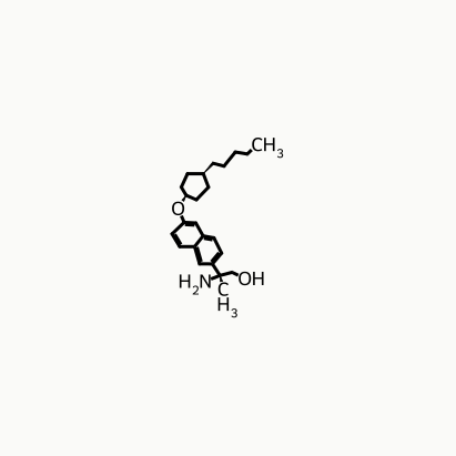 CCCCC[C@H]1CC[C@@H](Oc2ccc3cc([C@@](C)(N)CO)ccc3c2)CC1